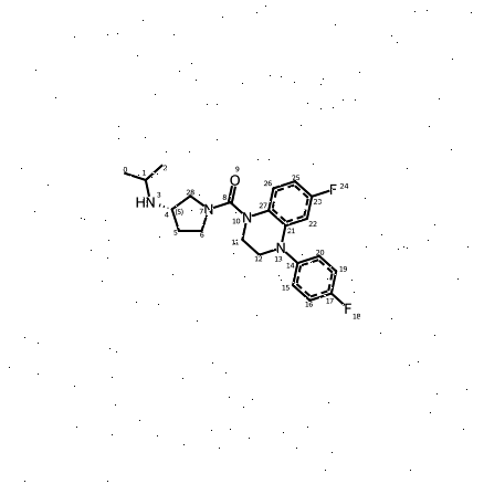 CC(C)N[C@H]1CCN(C(=O)N2CCN(c3ccc(F)cc3)c3cc(F)ccc32)C1